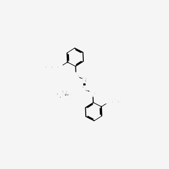 O=C([O-])c1ccccc1ON=NOc1ccccc1C(=O)[O-].[Na+].[Na+]